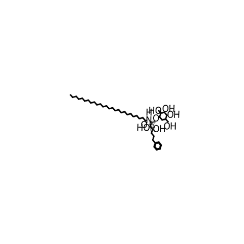 CCCCCCCCCCCCCCCCCCCCCCCCCC(=O)N[C@@H](COC1CC(CO)C(O)C(O)C1O)[C@H](O)[C@H](O)CCCc1ccccc1